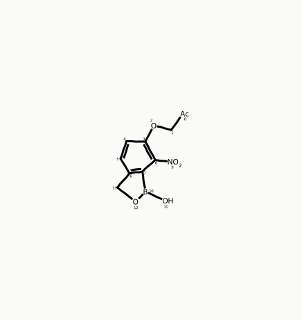 CC(=O)COc1ccc2c(c1[N+](=O)[O-])B(O)OC2